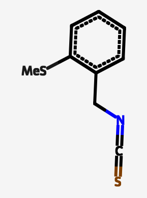 CSc1ccccc1CN=C=S